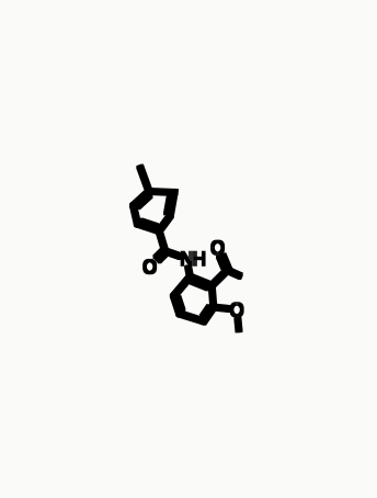 COc1cccc(NC(=O)c2ccc(C)cc2)c1C(C)=O